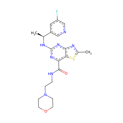 Cc1nc2nc(N[C@@H](C)c3cncc(F)c3)nc(C(=O)NCCN3CCOCC3)c2s1